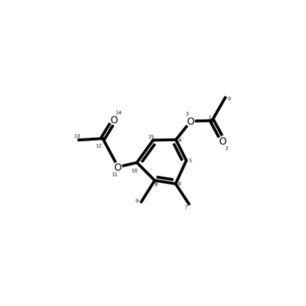 CC(=O)Oc1cc(C)c(C)c(OC(C)=O)c1